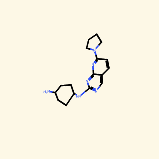 NC1CCC(Nc2ncc3ccc(N4CCCC4)nc3n2)CC1